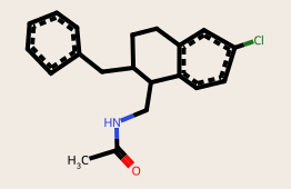 CC(=O)NCC1c2ccc(Cl)cc2CCC1Cc1ccccc1